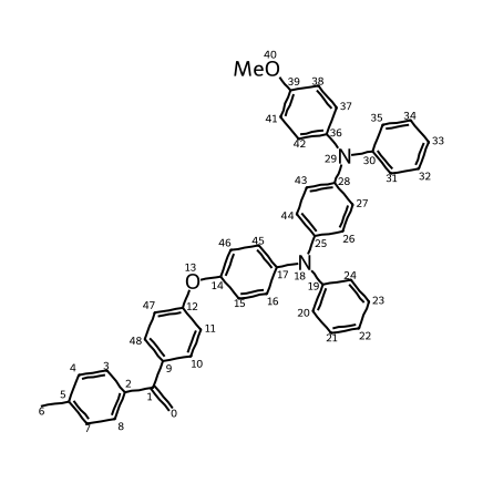 C=C(c1ccc(C)cc1)c1ccc(Oc2ccc(N(c3ccccc3)c3ccc(N(c4ccccc4)c4ccc(OC)cc4)cc3)cc2)cc1